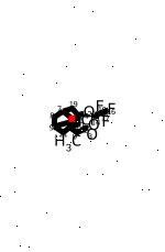 C[C@H](C(=O)Cl)C12CC3CC(CC(OC(=O)C(F)(F)F)(C3)C1)C2